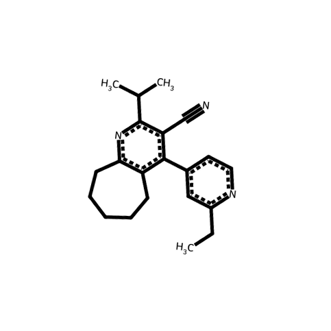 CCc1cc(-c2c(C#N)c(C(C)C)nc3c2CCCCC3)ccn1